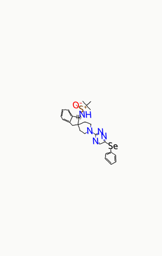 CC(C)(C)[S+]([O-])N[C@@H]1c2ccccc2CC12CCN(c1ncc([Se]c3ccccc3)nn1)CC2